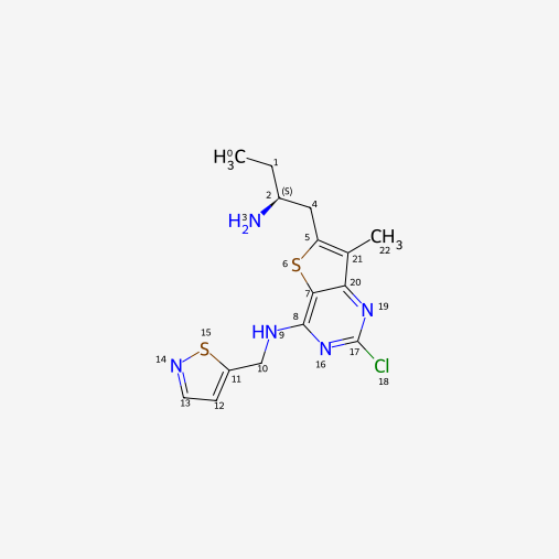 CC[C@H](N)Cc1sc2c(NCc3ccns3)nc(Cl)nc2c1C